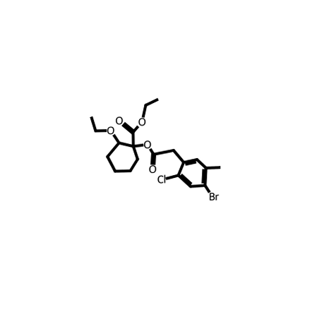 CCOC(=O)C1(OC(=O)Cc2cc(C)c(Br)cc2Cl)CCCCC1OCC